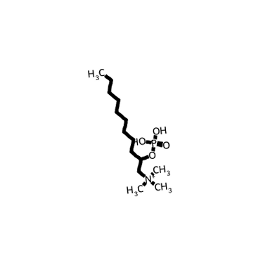 CCCCCCCCCC(C[N+](C)(C)C)OP(=O)(O)O